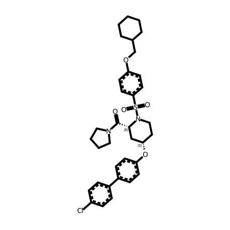 O=C([C@H]1C[C@@H](Oc2ccc(-c3ccc(Cl)cc3)cc2)CCN1S(=O)(=O)c1ccc(OCC2CCCCC2)cc1)N1CCCC1